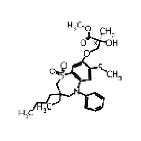 CCCCC1(CC)CN(c2ccccc2)c2cc(SC)c(OC[C@](C)(O)C(=O)OC)cc2S(=O)(=O)C1